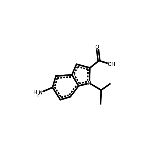 CC(C)n1c(C(=O)O)cc2cc(N)ccc21